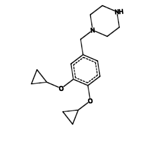 c1cc(OC2CC2)c(OC2CC2)cc1CN1CCNCC1